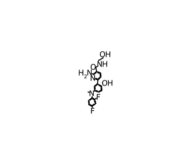 CN(c1ccc(O)c(-c2ccc(C(=O)NCCO)c(N)n2)c1)c1ccc(F)cc1F